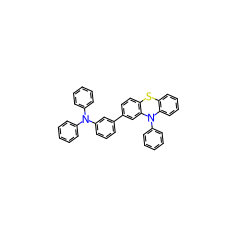 c1ccc(N(c2ccccc2)c2cccc(-c3ccc4c(c3)N(c3ccccc3)c3ccccc3S4)c2)cc1